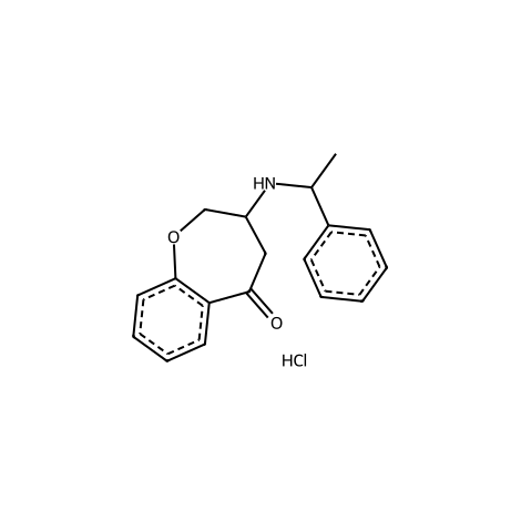 CC(NC1COc2ccccc2C(=O)C1)c1ccccc1.Cl